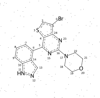 Brc1csc2c(-c3cccc4[nH]ncc34)nc(N3CCOCC3)nc12